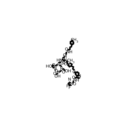 Cc1ccc(CCCC(=O)NCCOCC[C@H](NC(=O)CN2CCN(CC(=O)O)CCN(CC(=O)O)CCN(CC(=O)O)CC2)C(=O)N[C@@H](C)C(=O)N2CCC(CCCOc3ccc4nccc(C(=O)NCC(=O)N5CC(F)(F)C[C@@H]5C#N)c4c3)CC2)cc1